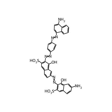 Nc1ccc2cc(S(=O)(=O)O)c(N=Nc3ccc4cc(S(=O)(=O)O)c(N=Nc5ccc(N=Nc6ccc(N)c7ccccc67)cc5)c(O)c4c3)c(O)c2c1